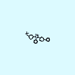 CC(C)(C)CC1=CCC=C(c2nnc(C3=CC=C(c4ccccc4)CC=C3)n2-c2ccccc2)C=C1